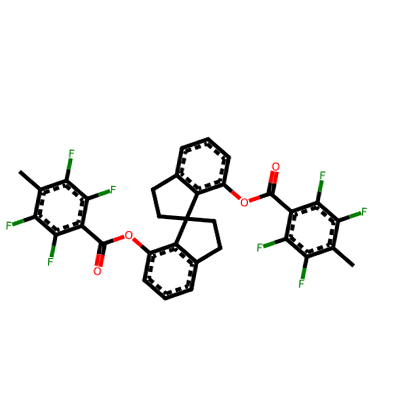 Cc1c(F)c(F)c(C(=O)Oc2cccc3c2C2(CC3)CCc3cccc(OC(=O)c4c(F)c(F)c(C)c(F)c4F)c32)c(F)c1F